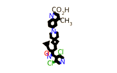 Cc1cc(C(=O)O)nc2ccc(N3CCC4(CC3)CC(=Cc3c(-c5c(Cl)cncc5Cl)noc3C3CC3)C4)cc12